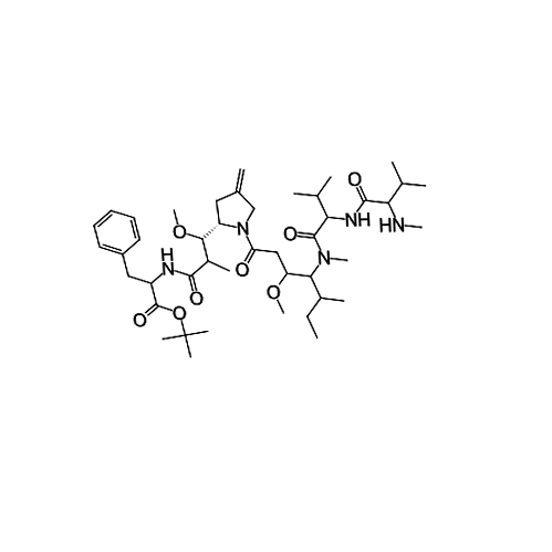 C=C1C[C@@H](C(OC)C(C)C(=O)NC(Cc2ccccc2)C(=O)OC(C)(C)C)N(C(=O)CC(OC)C(C(C)CC)N(C)C(=O)C(NC(=O)C(NC)C(C)C)C(C)C)C1